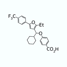 CCc1oc(-c2ccc(C(F)(F)F)cc2)cc1C(Oc1ccc(C(=O)O)cc1)C1CCCCC1